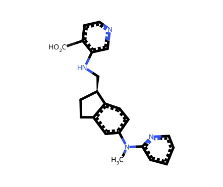 CN(c1ccc2c(c1)CC[C@H]2CNc1cnccc1C(=O)O)c1ccccn1